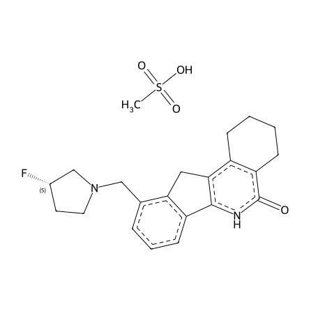 CS(=O)(=O)O.O=c1[nH]c2c(c3c1CCCC3)Cc1c(CN3CC[C@H](F)C3)cccc1-2